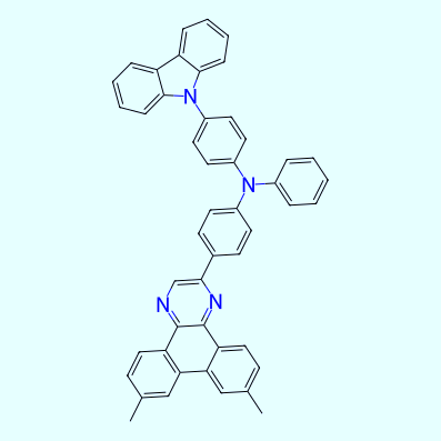 Cc1ccc2c(c1)c1cc(C)ccc1c1nc(-c3ccc(N(c4ccccc4)c4ccc(-n5c6ccccc6c6ccccc65)cc4)cc3)cnc21